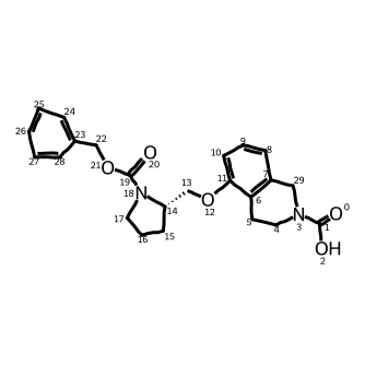 O=C(O)N1CCc2c(cccc2OC[C@@H]2CCCN2C(=O)OCc2ccccc2)C1